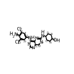 Nc1c(Cl)cc(Nc2ncnc3cnc(NC4CCC(O)CC4)nc23)cc1Cl